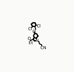 CCC(=O)c1cn(CCCC#N)c2ccc(OCc3c(Cl)cccc3Cl)cc12